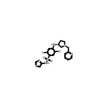 O=S(=O)(Nc1cscn1)c1cc(Cl)c(N[C@H]2CCN(Cc3ccccn3)C2)cc1F